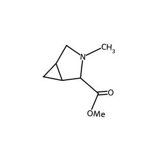 COC(=O)C1C2CC2CN1C